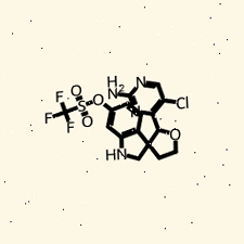 Nc1ncc(Cl)c(C2OCCC23CNc2cc(OS(=O)(=O)C(F)(F)F)ccc23)n1